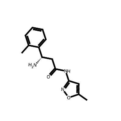 Cc1cc(NC(=O)C[C@H](N)c2ccccc2C)no1